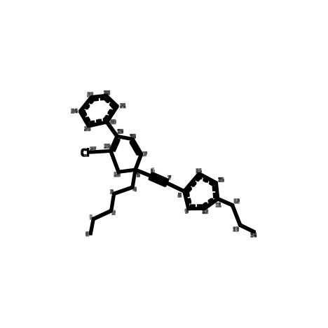 CCCCCC1(C#Cc2ccc(CCC)cc2)C=CC(c2ccccc2)=C(Cl)C1